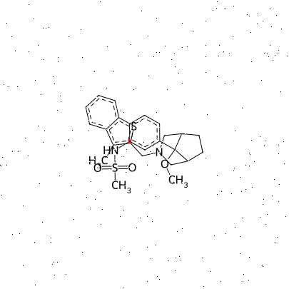 COC1(c2cccc(NS(C)(=O)=O)c2)C2CCC1CN(Cc1sc3ccccc3c1C)C2